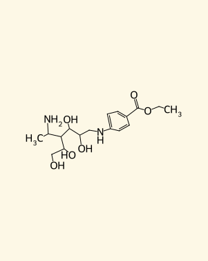 CCOC(=O)c1ccc(NCC(O)C(O)C(C(C)N)C(O)CO)cc1